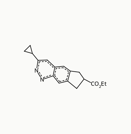 CCOC(=O)C1Cc2cc3cc(C4CC4)nnc3cc2C1